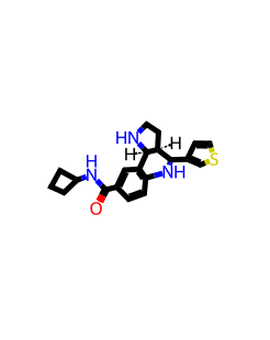 O=C(NC1CCC1)c1ccc2c(c1)[C@H]1NCC[C@H]1C(c1ccsc1)N2